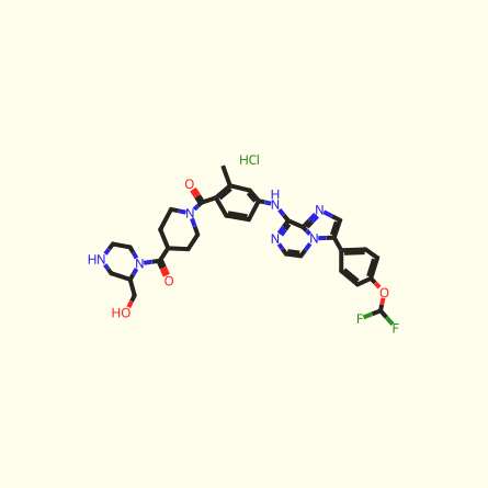 Cc1cc(Nc2nccn3c(-c4ccc(OC(F)F)cc4)cnc23)ccc1C(=O)N1CCC(C(=O)N2CCNCC2CO)CC1.Cl